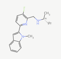 CC(C)[C@@H](C)NCc1nc(-c2cc3ccccc3n2C)ccc1F